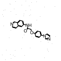 O=C(COc1ccc(-n2ccnc2)cc1)Nc1ccc2cnccc2c1